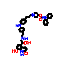 O=C(Nc1ccccc1-c1ccccc1)OC1CCN(CCCc2ccc(Nc3ccc(CCNCC(O)c4ccc(O)c5[nH]c(=O)ccc45)cc3)cc2)CC1